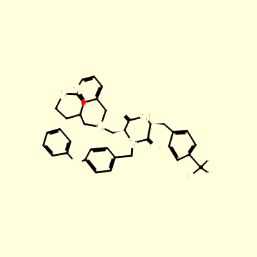 O=C1N[C@@H](Cc2ccc(C(F)(F)F)cc2)C(=O)N(Cc2ccc(Oc3ccccc3)cc2)[C@H]1CN(Cc1cccnc1)CC1CCNCC1